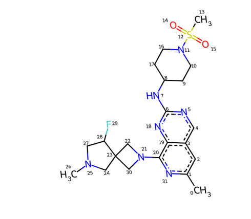 Cc1cc2cnc(NC3CCN(S(C)(=O)=O)CC3)nc2c(N2CC3(CN(C)CC3F)C2)n1